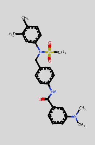 Cc1ccc(N(Cc2ccc(NC(=O)c3cccc(N(C)C)c3)cc2)S(C)(=O)=O)cc1C